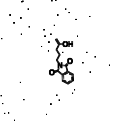 C=C(O)CCCN1C(=O)c2ccccc2C1=O